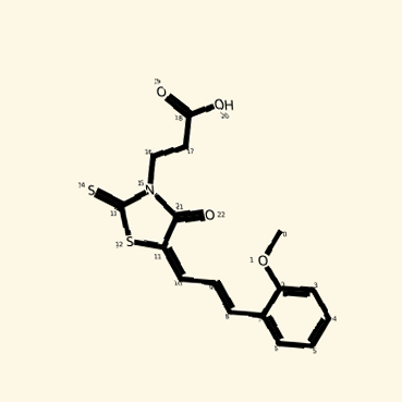 COc1ccccc1C=CC=C1SC(=S)N(CCC(=O)O)C1=O